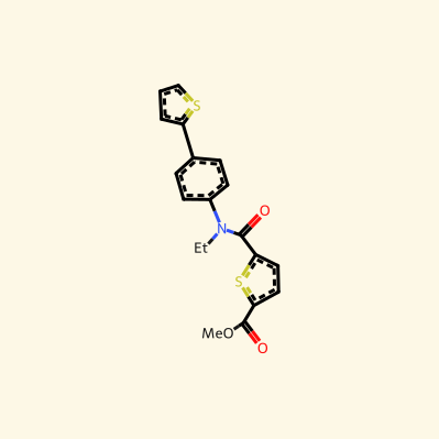 CCN(C(=O)c1ccc(C(=O)OC)s1)c1ccc(-c2cccs2)cc1